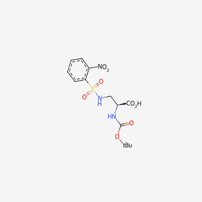 CC(C)(C)OC(=O)N[C@@H](CNS(=O)(=O)c1ccccc1[N+](=O)[O-])C(=O)O